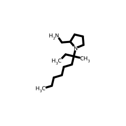 CCCCCCC(C)(CC)N1CCCC1CN